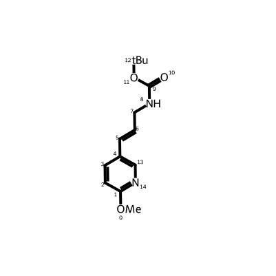 COc1ccc(C=CCNC(=O)OC(C)(C)C)cn1